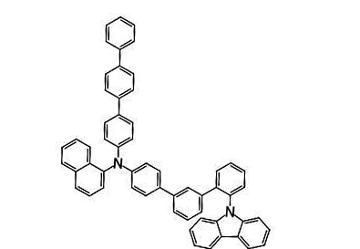 c1ccc(-c2ccc(-c3ccc(N(c4ccc(-c5cccc(-c6ccccc6-n6c7ccccc7c7ccccc76)c5)cc4)c4cccc5ccccc45)cc3)cc2)cc1